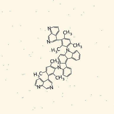 Cc1cc(C)c(-n2c3ccccc3c3c4c5ccccc5n(-c5c(C)cc(C)c(-c6cncc7ncccc67)c5C)c4ccc32)c(C)c1-c1cncc2ncccc12